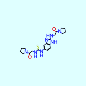 O=C(CNC(=S)Nc1ccc2[nH]c(NCC(=O)N3CCCC3)nc2c1)N1CCCC1